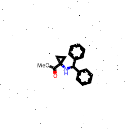 COC(=O)C1(NC(c2ccccc2)c2ccccc2)CC1